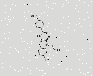 CC(C)COc1ccc(C(=O)N/C(=C/c2ccc(C(C)C)cc2)C(=O)NCCO)cc1